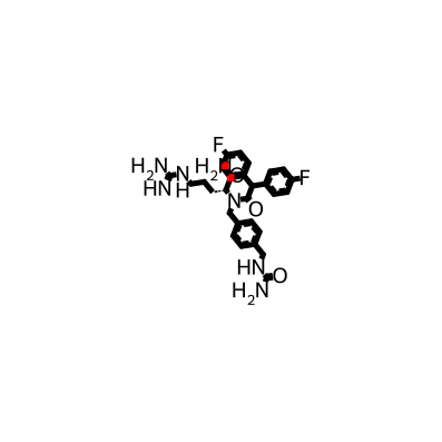 N=C(N)NCCC[C@H](C(N)=O)N(Cc1ccc(CNC(N)=O)cc1)C(=O)C(c1ccc(F)cc1)c1ccc(F)cc1